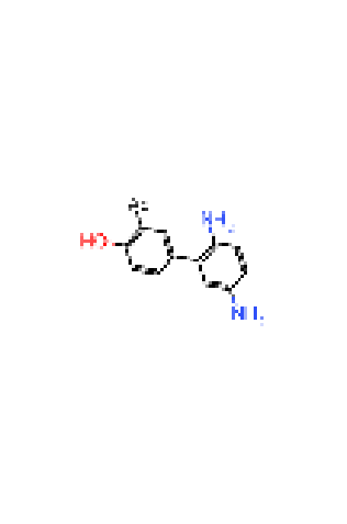 CC(=O)c1cc(-c2cc(N)ccc2N)ccc1O